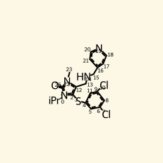 CC(C)n1c(Sc2cc(Cl)cc(Cl)c2)c(CNCc2ccncc2)n(C)c1=O